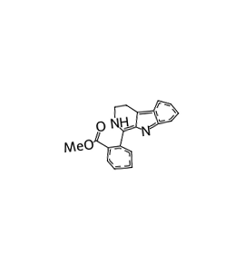 COC(=O)c1ccccc1C1=C2N=c3ccccc3=C2CCN1